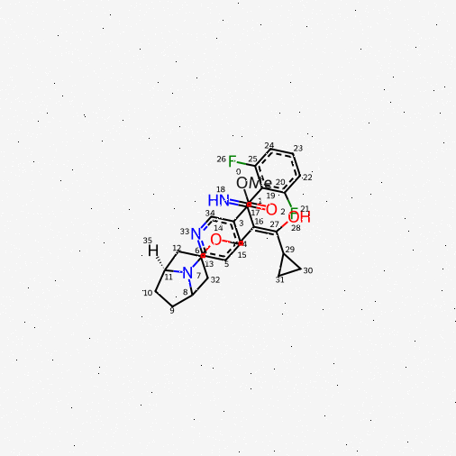 COC(=O)c1ccc(N2C3CC[C@H]2CC(OC/C(C(=N)c2c(F)cccc2F)=C(/O)C2CC2)C3)nc1